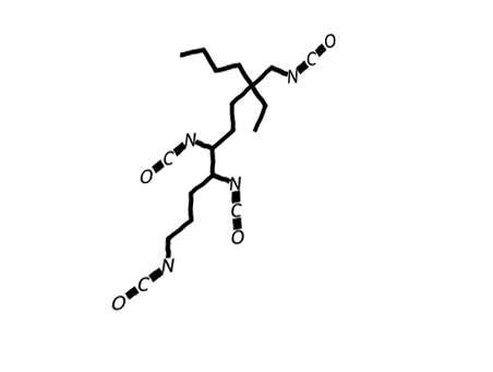 CCCCC(CC)(CCC(N=C=O)C(CCCN=C=O)N=C=O)CN=C=O